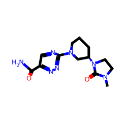 CN1CCN([C@@H]2CCCN(c3ncc(C(N)=O)nn3)C2)C1=O